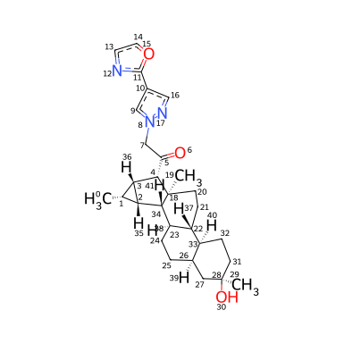 C[C@H]1[C@@H]2[C@H]1[C@H](C(=O)Cn1cc(-c3ncco3)cn1)[C@@]1(C)CC[C@H]3[C@@H](CC[C@@H]4C[C@](C)(O)CC[C@@H]43)[C@H]21